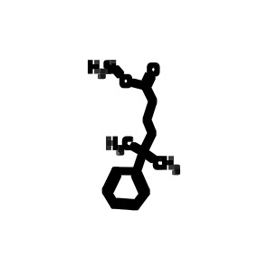 CC(C)(CCCC(=O)O[SiH3])c1ccccc1